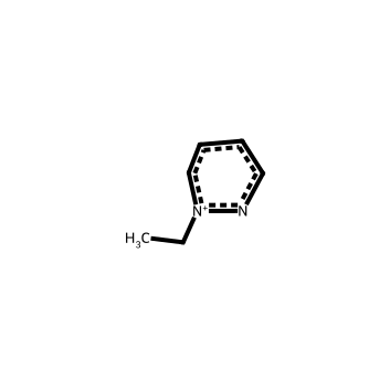 CC[n+]1ccccn1